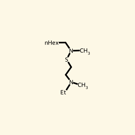 CCCCCCCN(C)SCCN(C)CC